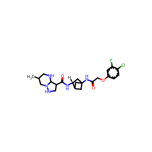 CC1CNC2C(C(=O)N[C@@H]3CC4(NC(=O)COc5ccc(Cl)c(F)c5)CC3C4)CNN2C1